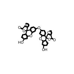 O=C1OC2(c3ccc(O)cc3Oc3cc(Oc4ccc5c(c4)Oc4cc(O)ccc4C54OC(=O)c5ccccc54)ccc32)c2ccccc21